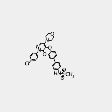 CS(=O)(=O)Nc1ccc(-c2ccc(Oc3c(N4CCOCC4)cnn(-c4ccc(Cl)cc4)c3=O)cc2)cc1